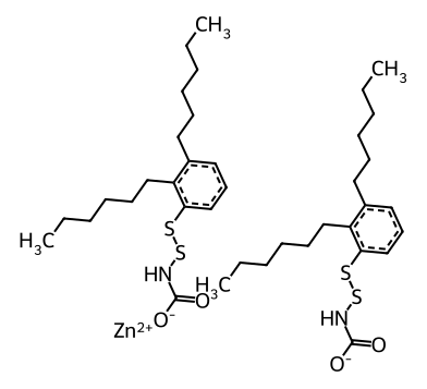 CCCCCCc1cccc(SSNC(=O)[O-])c1CCCCCC.CCCCCCc1cccc(SSNC(=O)[O-])c1CCCCCC.[Zn+2]